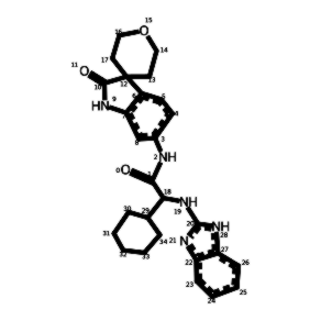 O=C(Nc1ccc2c(c1)NC(=O)C21CCOCC1)C(Nc1nc2ccccc2[nH]1)C1CCCCC1